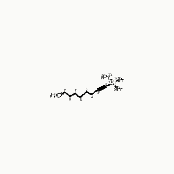 CC(C)[Si](C#CCCCCCCO)(C(C)C)C(C)C